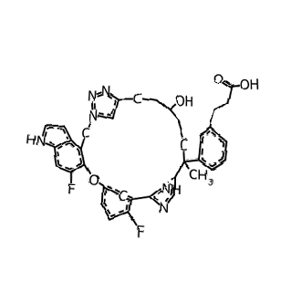 CC1(c2cccc(CCC(=O)O)c2)CCC(O)CCc2cn(nn2)Cc2c(c(F)cc3[nH]ccc23)Oc2ccc(F)c(c2)-c2ncc1[nH]2